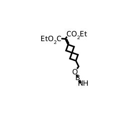 CCOC(=O)C(C(=O)OCC)=C1CC2(C1)CC(COB=N)C2